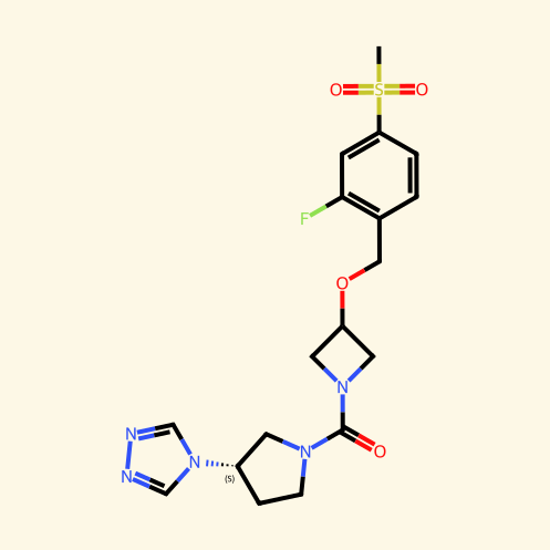 CS(=O)(=O)c1ccc(COC2CN(C(=O)N3CC[C@H](n4cnnc4)C3)C2)c(F)c1